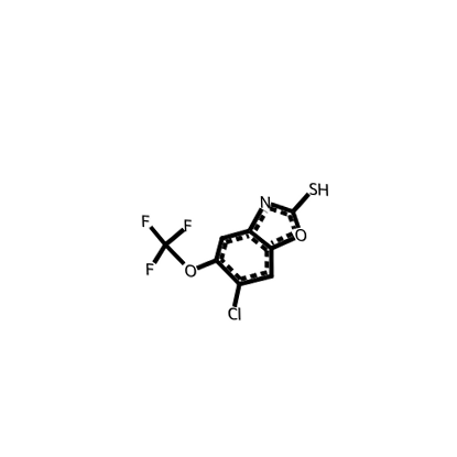 FC(F)(F)Oc1cc2nc(S)oc2cc1Cl